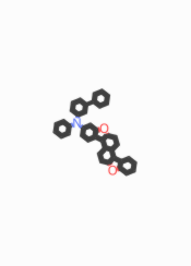 c1ccc(-c2cccc(N(c3ccccc3)c3ccc4c(c3)oc3ccc5c(ccc6oc7ccccc7c65)c34)c2)cc1